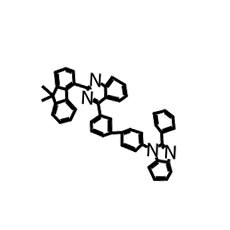 CC1(C)c2ccccc2-c2c(-c3nc(-c4cccc(-c5ccc(-n6c(-c7ccccc7)nc7ccccc76)cc5)c4)c4ccccc4n3)cccc21